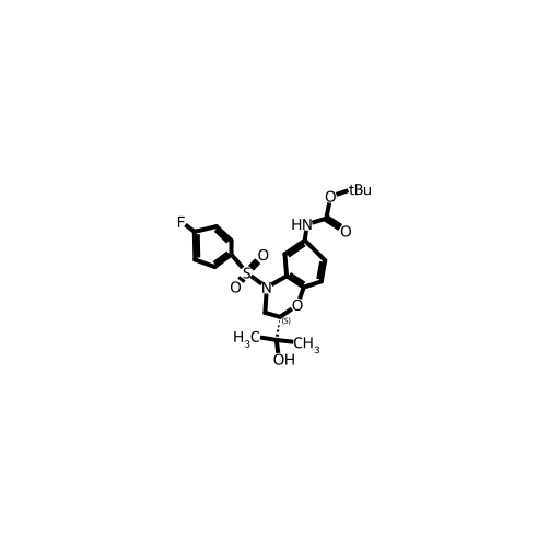 CC(C)(C)OC(=O)Nc1ccc2c(c1)N(S(=O)(=O)c1ccc(F)cc1)C[C@@H](C(C)(C)O)O2